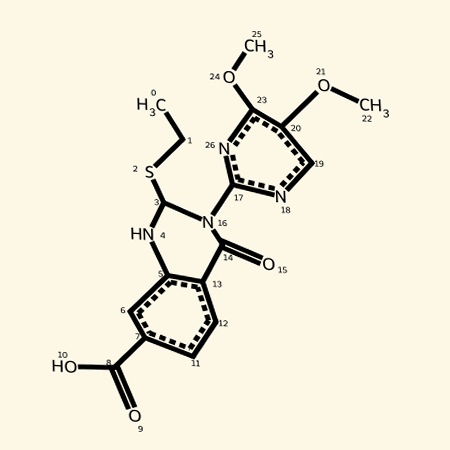 CCSC1Nc2cc(C(=O)O)ccc2C(=O)N1c1ncc(OC)c(OC)n1